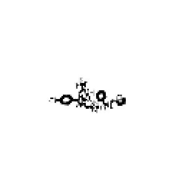 CN(Cc1ccco1)C(=O)c1ccccc1-n1cnc(Cn2nc(-c3ccc(Cl)cc3)n(CC(O)C(F)(F)F)c2=O)n1